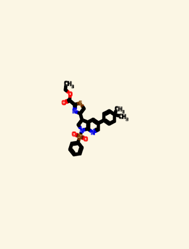 CCOC(=O)C1=NC(C2CN(S(=O)(=O)c3ccccc3)c3ncc(C4=CCC(C)(C)C=C4)cc32)CS1